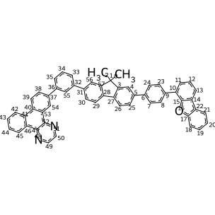 CC1(C)c2cc(-c3ccc(-c4cccc5c4oc4ccccc45)cc3)ccc2-c2ccc(-c3cccc(-c4ccc5c6ccccc6c6nccnc6c5c4)c3)cc21